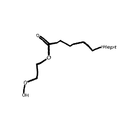 CCCCCCCCCCCC(=O)OCCOO